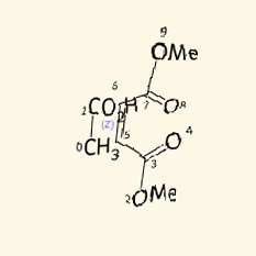 CC(=O)O.COC(=O)/C=C\C(=O)OC